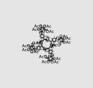 CC(=O)OC[C@H]1O[C@@H](Oc2ccc(-c3c4nc(c(-c5ccc(O[C@@H]6O[C@H](COC(C)=O)[C@@H](OC(C)=O)[C@H](OC(C)=O)[C@H]6OC(C)=O)cc5)c5ccc([nH]5)c(-c5ccc(O[C@@H]6O[C@H](COC(C)=O)[C@@H](OC(C)=O)[C@H](OC(C)=O)[C@H]6OC(C)=O)cc5)c5nc(c(-c6ccc(O[C@@H]7O[C@H](COC(C)=O)[C@@H](OC(C)=O)[C@H](OC(C)=O)[C@H]7OC(C)=O)cc6)c6ccc3[nH]6)C=C5)C=C4)cc2)[C@H](OC(C)=O)[C@@H](OC(C)=O)[C@@H]1OC(C)=O